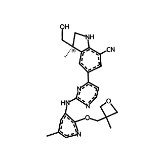 Cc1cnc(OCC2(C)COC2)c(Nc2nccc(-c3cc(C#N)c4c(c3)[C@@](C)(CO)CN4)n2)c1